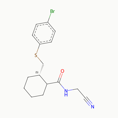 N#CCNC(=O)C1CCCC[C@@H]1CSc1ccc(Br)cc1